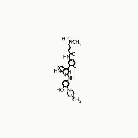 CN(C)C/C=C/C(=O)Nc1ccc(F)c(-c2nc(Nc3ccc(O)c(N4CCN(C)CC4)c3)nc3[nH]ncc23)c1